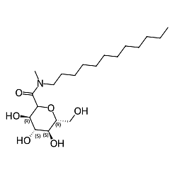 CCCCCCCCCCCCN(C)C(=O)C1O[C@H](CO)[C@@H](O)[C@H](O)[C@H]1O